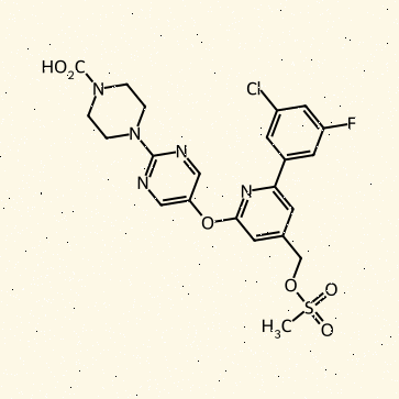 CS(=O)(=O)OCc1cc(Oc2cnc(N3CCN(C(=O)O)CC3)nc2)nc(-c2cc(F)cc(Cl)c2)c1